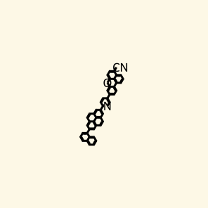 N#Cc1ccc2c3c(cccc13)-c1ccc(-c3ccc(-c4cc5ccc6cc(-c7cccc8ccccc78)cc7ccc(c4)c5c67)nc3)cc1O2